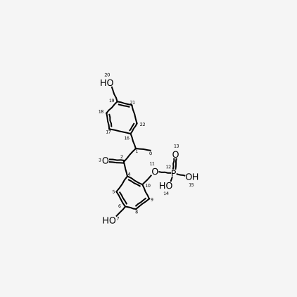 CC(C(=O)c1cc(O)ccc1OP(=O)(O)O)c1ccc(O)cc1